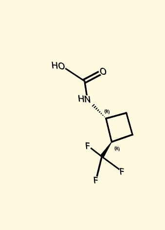 O=C(O)N[C@@H]1CC[C@H]1C(F)(F)F